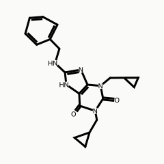 O=c1c2[nH]c(NCc3ccccc3)nc2n(CC2CC2)c(=O)n1CC1CC1